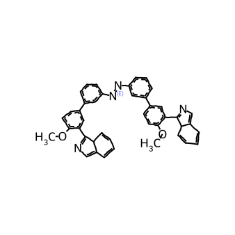 COc1ccc(-c2cccc(/N=N/c3cccc(-c4ccc(OC)c(C5=NC=C6C=CC=CC65)c4)c3)c2)cc1C1=NC=C2C=CC=CC21